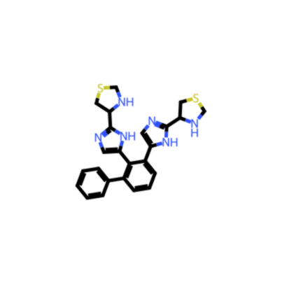 c1ccc(-c2cccc(-c3cnc(C4CSCN4)[nH]3)c2-c2cnc(C3CSCN3)[nH]2)cc1